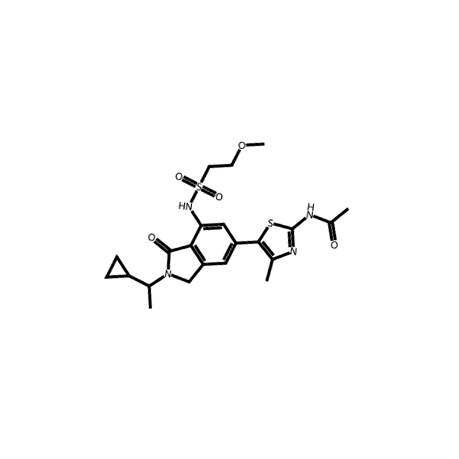 COCCS(=O)(=O)Nc1cc(-c2sc(NC(C)=O)nc2C)cc2c1C(=O)N(C(C)C1CC1)C2